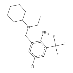 CCN(Cc1cc(Cl)cc(C(F)(F)F)c1N)C1CCCCC1